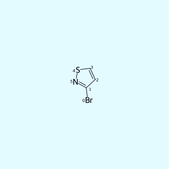 Brc1ccsn1